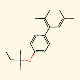 CCC(C)(C)Oc1ccc(C(C=C(C)C)=C(C)C)cc1